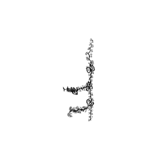 CCCCCCCCCCCOC(=O)CCCCCN(CCCCCCCC(=O)OC(CCCCCCCC)CCCCCCCC)CC(O)CCCCNC(=O)NC